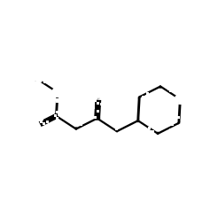 CC(C)(C)OC(=O)CC(=O)CC1CCOCC1